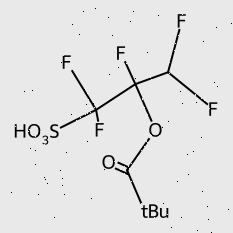 CC(C)(C)C(=O)OC(F)(C(F)F)C(F)(F)S(=O)(=O)O